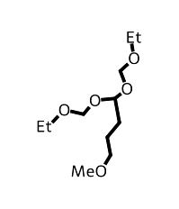 CCOCOC(CCCOC)OCOCC